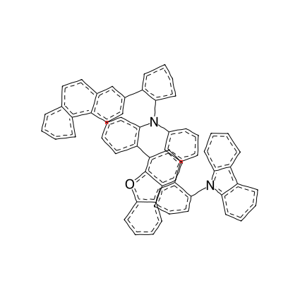 c1cc(-c2ccccc2-n2c3ccccc3c3ccccc32)cc(N(c2ccccc2-c2ccc3c(ccc4ccccc43)c2)c2ccccc2-c2cccc3c2oc2ccccc23)c1